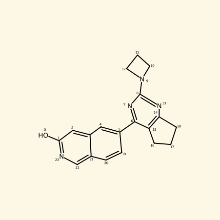 Oc1cc2cc(-c3nc(N4CCC4)nc4c3CCC4)ccc2cn1